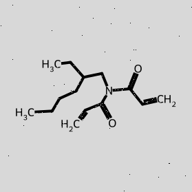 C=CC(=O)N(CC(CC)CCCC)C(=O)C=C